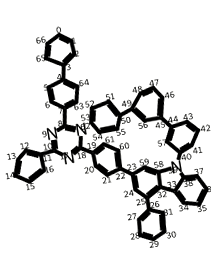 c1ccc(-c2ccc(-c3nc(-c4ccccc4)nc(-c4ccc(-c5cc(-c6ccccc6)c6c7ccccc7n(-c7cccc(-c8cccc(-c9ccccc9)c8)c7)c6c5)cc4)n3)cc2)cc1